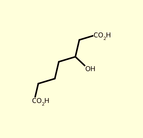 O=C(O)CCCC(O)CC(=O)O